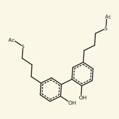 CC(=O)SCCCc1ccc(O)c(-c2cc(CCCSC(C)=O)ccc2O)c1